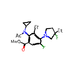 CCc1c(N2CCC(F)(CC)C2)c(F)cc(C(=O)OC)c1N(C(C)=O)C1CC1